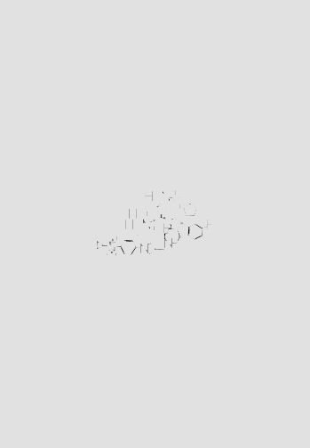 CC(C)(N)C(=O)NCC(c1cccc(F)c1)(C1CCN(CC2CN(c3ccc(S(=O)(=O)C4CC4)cc3)C2)CC1)[C@H]1CCC[C@@H]1OC(N)=O